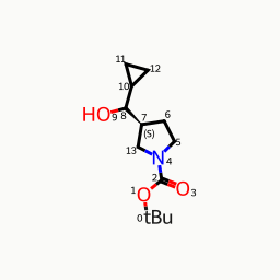 CC(C)(C)OC(=O)N1CC[C@H](C(O)C2CC2)C1